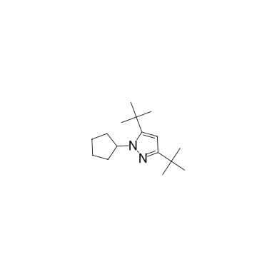 CC(C)(C)c1cc(C(C)(C)C)n(C2CCCC2)n1